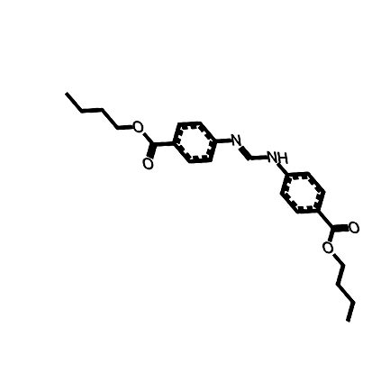 CCCCOC(=O)c1ccc(N=CNc2ccc(C(=O)OCCCC)cc2)cc1